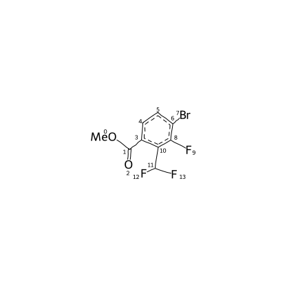 COC(=O)c1ccc(Br)c(F)c1C(F)F